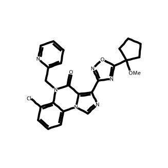 COC1(c2nc(-c3ncn4c3c(=O)n(Cc3ccccn3)c3c(Cl)cccc34)no2)CCCC1